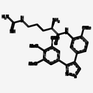 COc1ccc(-c2csnc2-c2cc(OC)c(OC)c(OC)c2)cc1NC(=O)[C@H](N)CCCNC(=N)N